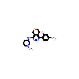 Cc1ccc(-c2nnc(NC3CCCN(C)C3)c3c2CCOC3)c(O)c1